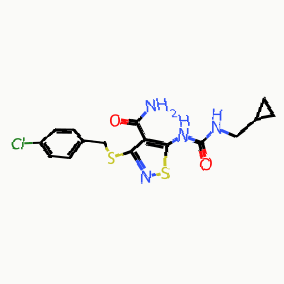 NC(=O)c1c(SCc2ccc(Cl)cc2)nsc1NC(=O)NCC1CC1